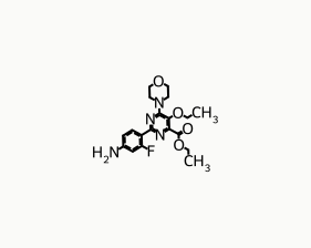 CCOC(=O)c1nc(-c2ccc(N)cc2F)nc(N2CCOCC2)c1OCC